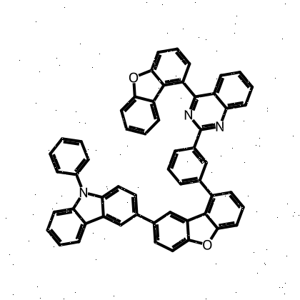 c1ccc(-n2c3ccccc3c3cc(-c4ccc5oc6cccc(-c7cccc(-c8nc(-c9cccc%10oc%11ccccc%11c9%10)c9ccccc9n8)c7)c6c5c4)ccc32)cc1